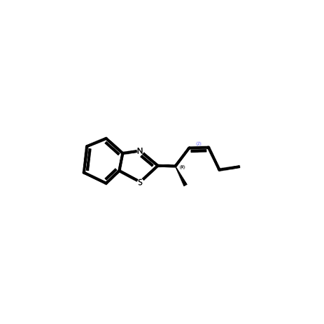 CC/C=C\[C@@H](C)c1nc2ccccc2s1